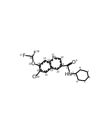 O=C(NC1CCCCC1)c1cnc2cc(OC(F)F)c(Cl)cc2c1